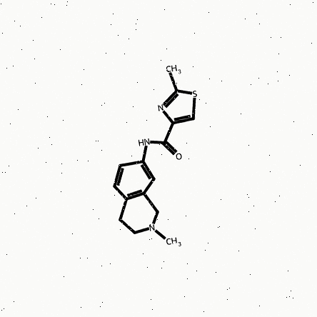 Cc1nc(C(=O)Nc2ccc3c(c2)CN(C)CC3)cs1